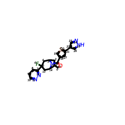 CC1CC2CC(F)(c3cccnn3)CC1N2C(=O)c1csc(-c2cn[nH]c2)c1